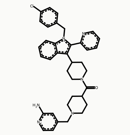 Nc1cc(CN2CCC(C(=O)N3CCC(c4c(-c5ccccn5)n(Cc5ccc(Cl)cc5)c5ccccc45)CC3)CC2)ccn1